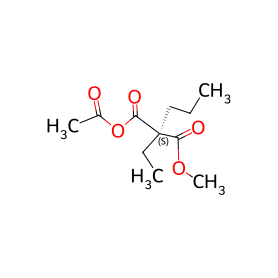 CCC[C@@](CC)(C(=O)OC)C(=O)OC(C)=O